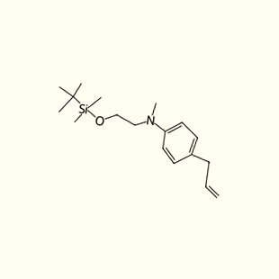 C=CCc1ccc(N(C)CCO[Si](C)(C)C(C)(C)C)cc1